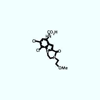 COCCN1CCn2c(cc3c(NC(=O)O)cc(Cl)c(Cl)c32)C1=O